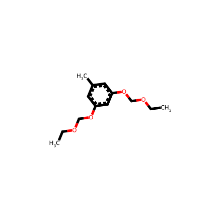 CCOCOc1cc(C)cc(OCOCC)c1